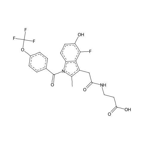 Cc1c(CC(=O)NCCC(=O)O)c2c(F)c(O)ccc2n1C(=O)c1ccc(OC(F)(F)F)cc1